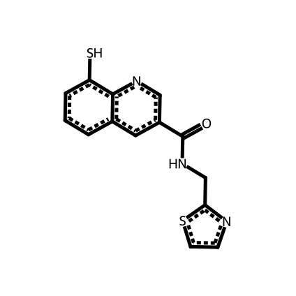 O=C(NCc1nccs1)c1cnc2c(S)cccc2c1